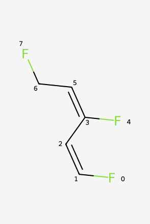 F/C=C\C(F)=C/CF